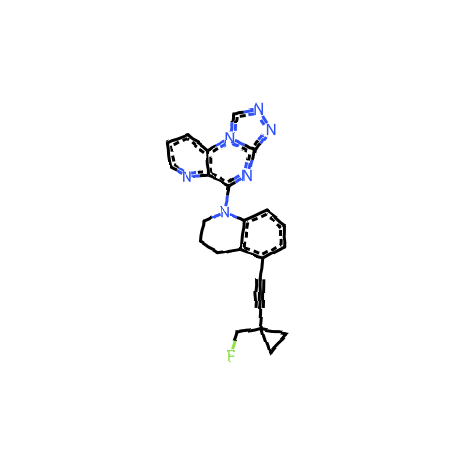 FCC1(C#Cc2cccc3c2CCCN3c2nc3nncn3c3cccnc23)CC1